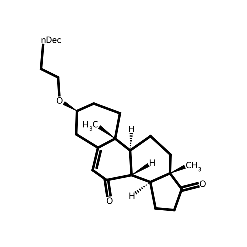 CCCCCCCCCCCCO[C@H]1CC[C@@]2(C)C(=CC(=O)[C@@H]3[C@@H]2CC[C@]2(C)C(=O)CC[C@@H]32)C1